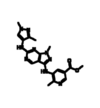 COC(=O)c1cnc(C)c(Nc2nn(C)c3nc(Nc4cn(C)nc4C)ncc23)c1